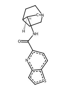 O=C(N[C@@H]1CN2CCC1CC2)c1ccc2sccc2n1